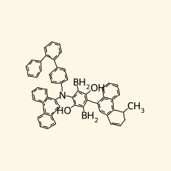 Bc1c(O)c(N(c2ccc(-c3ccccc3-c3ccccc3)cc2)c2cc3ccccc3c3ccccc23)c(B)c(O)c1-c1cc2c(c3ccccc13)C(C)CC=C2